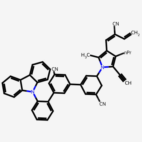 C#Cc1c(CCC)c(/C=C(/C#N)C=C)c(C)n1C1C=C(c2cc(C#N)cc(-c3ccccc3-n3c4ccccc4c4ccccc43)c2)C=C(C#N)C1